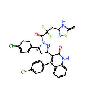 C=C1NC(CC(F)(F)C(=O)N2N=C(c3c(-c4ccc(Cl)cc4)c4ccccc4[nH]c3=O)C[C@H]2c2ccc(Cl)cc2)=NS1